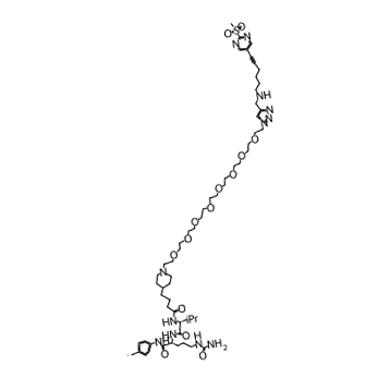 [CH2]c1ccc(NC(=O)[C@H](CCCNC(N)=O)NC(=O)[C@@H](NC(=O)CCCC2CCN(CCOCCOCCOCCOCCOCCOCCOCCOCCn3cc(CNCCCCC#Cc4cnc(S(C)(=O)=O)nc4)nn3)CC2)C(C)C)cc1